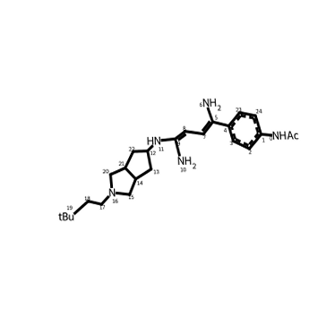 CC(=O)Nc1ccc(/C(N)=C/C=C(\N)NC2CC3CN(CCC(C)(C)C)CC3C2)cc1